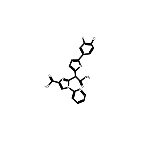 NC(=O)C(c1ccc(-c2ccc(Cl)c(Cl)c2)o1)c1nc(C(=O)O)cn1-c1ccccn1